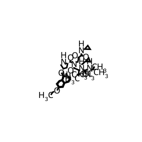 CCOc1ccc2c(O[C@H]3CN[C@H](C(=O)N(C(=O)[C@@H](NC(=O)NC(C)(C)C)C(C)(C)C)[C@@H](CC4CC4)C(=O)C(=O)NC4CC4)C3)nccc2c1